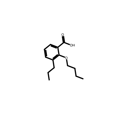 CCCCOc1c(CCC)cccc1C(=O)O